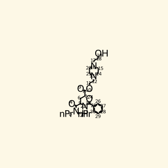 CCCN(CCC)C(=O)C(CCC(=O)OCCN1CCN(CCO)CC1)NC(=O)c1ccccc1